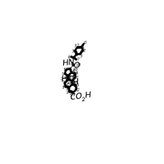 Cc1ccc(C(C)(C)NC(=O)[C@H]2CC[C@H]3[C@@H]4CC=C5C=C(C(=O)O)CC[C@]5(C)[C@H]4CC[C@]23C)cc1